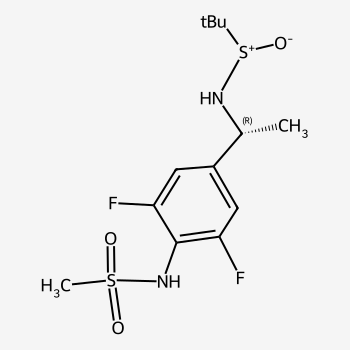 C[C@@H](N[S+]([O-])C(C)(C)C)c1cc(F)c(NS(C)(=O)=O)c(F)c1